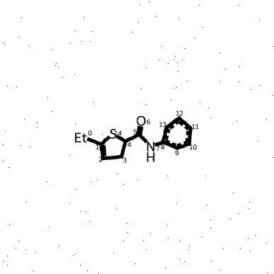 CCC1=CCC(C(=O)Nc2ccccc2)S1